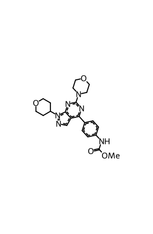 COC(=O)Nc1ccc(-c2nc(N3CCOCC3)nc3c2cnn3C2CCOCC2)cc1